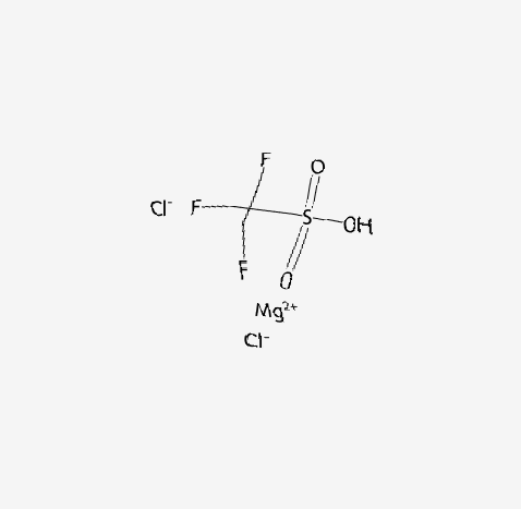 O=S(=O)(O)C(F)(F)F.[Cl-].[Cl-].[Mg+2]